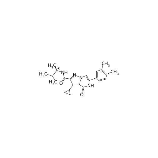 Cc1ccc(-c2cn3nc(C(=O)N[C@H](C)C(C)C)c(C4CC4)c3c(=O)[nH]2)cc1C